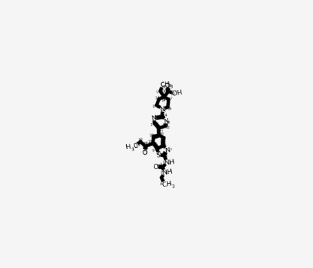 CCNC(=O)Nc1nc2cc(-c3cnc(N4CCC(CC)(C(=O)O)CC4)nc3)cc(C(=O)CC)c2s1